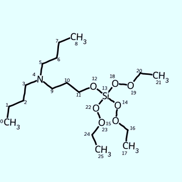 CCCCN(CCCC)CCCO[Si](OOCC)(OOCC)OOCC